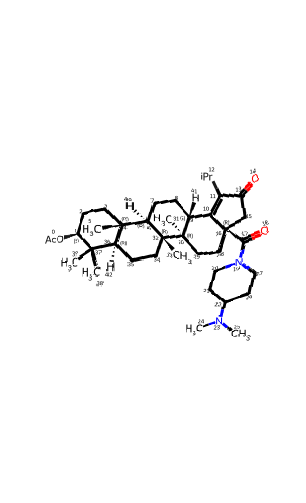 CC(=O)O[C@H]1CC[C@]2(C)[C@H]3CC[C@@H]4C5=C(C(C)C)C(=O)C[C@]5(C(=O)N5CCC(N(C)C)CC5)CC[C@@]4(C)[C@]3(C)CC[C@H]2C1(C)C